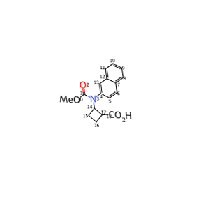 COC(=O)N(c1ccc2ccccc2c1)C1CCC1C(=O)O